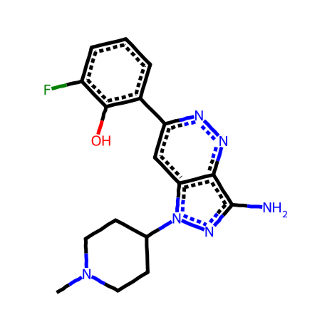 CN1CCC(n2nc(N)c3nnc(-c4cccc(F)c4O)cc32)CC1